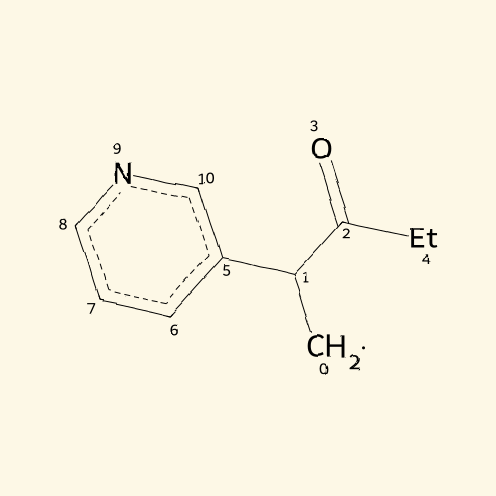 [CH2]C(C(=O)CC)c1cccnc1